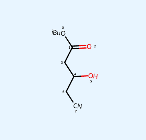 CC(C)COC(=O)CC(O)CC#N